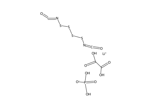 O=C(O)C(=O)O.O=C=NSSSSN=C=O.O=P([O-])(O)O.[Li+]